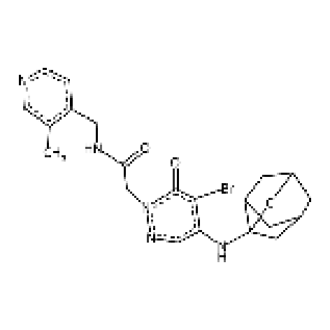 Cc1cnccc1CNC(=O)Cn1ncc(NC23CC4CC(CC2C4)C3)c(Br)c1=O